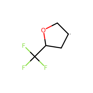 FC(F)(F)C1C[CH]CO1